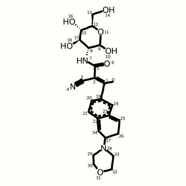 C/C(=C(/C#N)C(=O)N[C@H]1C(O)O[C@H](CO)[C@@H](O)[C@@H]1O)c1ccc2c(c1)=CCC(N1CCOCC1)C=2